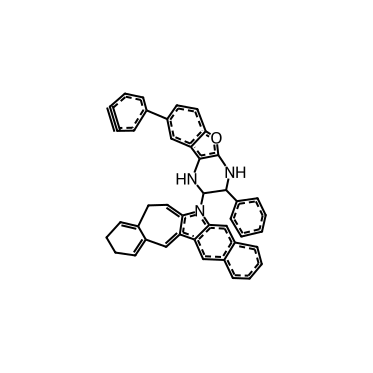 c1ccc(-c2ccc3oc4c(c3c2)NC(n2c3c(c5cc6ccccc6cc52)=CC2=CCCC=C2CC=3)C(c2ccccc2)N4)cc#1